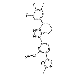 COc1cc(-c2nnc3n2CCCC3c2cc(F)c(F)c(F)c2)ccc1-c1cnc(C)o1